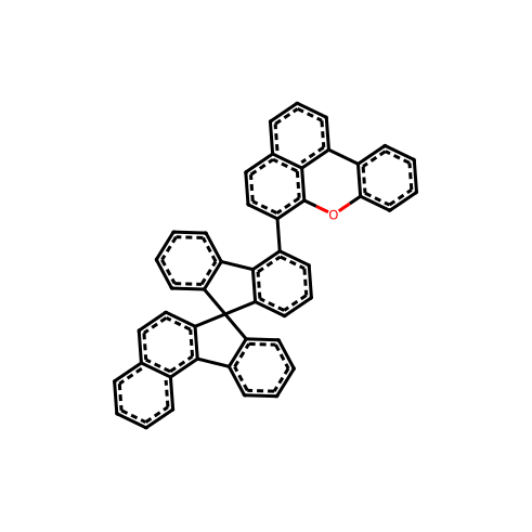 c1ccc2c(c1)Oc1c(-c3cccc4c3-c3ccccc3C43c4ccccc4-c4c3ccc3ccccc43)ccc3cccc-2c13